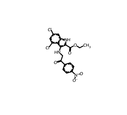 CCOC(=O)c1[nH]c2cc(Cl)cc(Cl)c2c1NCC(=O)c1ccc([N+](=O)[O-])cc1